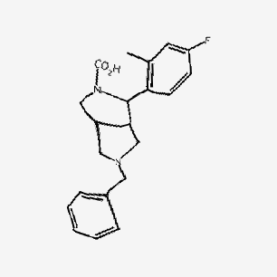 Cc1cc(F)ccc1C1C2CN(Cc3ccccc3)CC2CN1C(=O)O